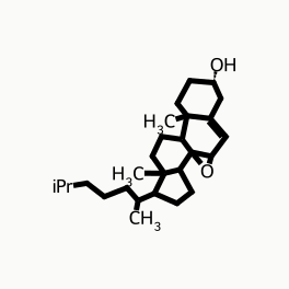 CC(C)CCCC(C)C1CCC2C1(C)CCC1C3(C)CC[C@H](O)CC3=CC3OC312